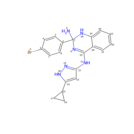 NC1(c2ccc(Br)cc2)N=C(Nc2cc(C3CC3)[nH]n2)c2ccccc2N1